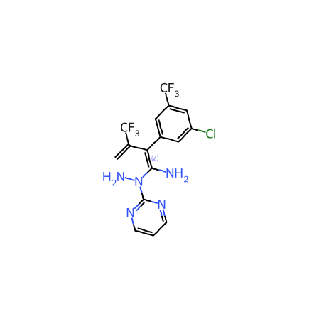 C=C(/C(=C(/N)N(N)c1ncccn1)c1cc(Cl)cc(C(F)(F)F)c1)C(F)(F)F